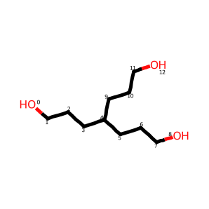 OCCCC(CCCO)CCCO